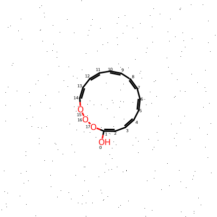 OC1=CC=CC=CC=CC=CC=CC=COOO1